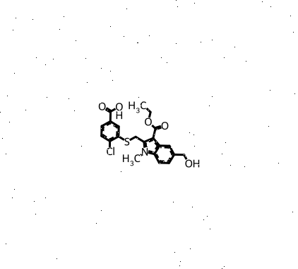 CCOC(=O)c1c(CSc2cc(C(=O)O)ccc2Cl)n(C)c2ccc(CO)cc12